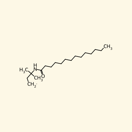 [CH2]CC(C)(C)NC(=O)CCCCCCCCCCCCC